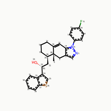 C[C@]12Cc3cnn(-c4ccc(F)cc4)c3C=C1CCC[C@@H]2C[C@@H](O)c1csc2ccccc12